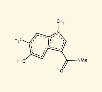 CNC(=O)c1cn(C)c2cc(C)c(C)cc12